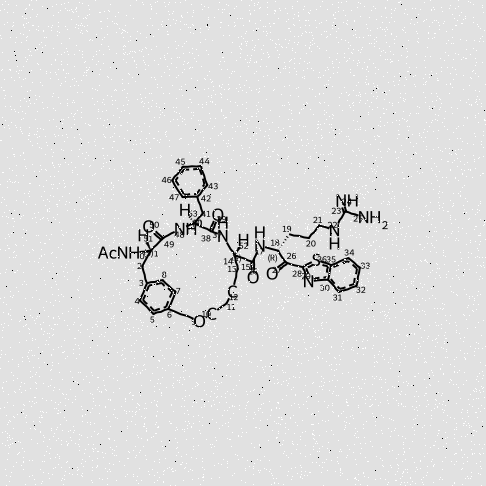 CC(=O)N[C@H]1Cc2ccc(cc2)OCCCC[C@@H](C(=O)N[C@H](CCCNC(=N)N)C(=O)c2nc3ccccc3s2)NC(=O)[C@H](Cc2ccccc2)NC1=O